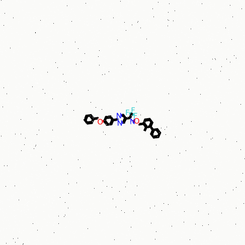 Cc1c(CON=C(c2cnc(-c3ccc(OCc4ccccc4)cc3)nc2)C(F)(F)F)cccc1-c1ccccc1